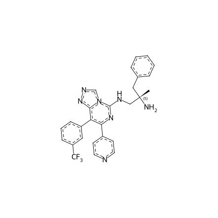 C[C@@](N)(CNc1nc(-c2ccncc2)c(-c2cccc(C(F)(F)F)c2)c2nncn12)Cc1ccccc1